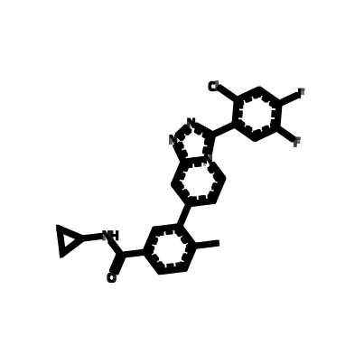 Cc1ccc(C(=O)NC2CC2)cc1-c1ccn2c(-c3cc(F)c(F)cc3Cl)nnc2c1